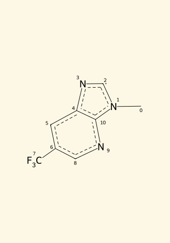 Cn1[c]nc2cc(C(F)(F)F)cnc21